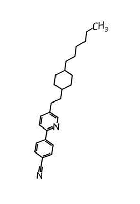 CCCCCCC1CCC(CCc2ccc(-c3ccc(C#N)cc3)nc2)CC1